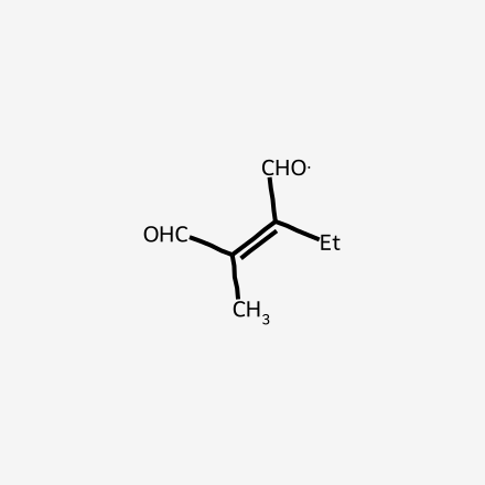 CCC([C]=O)=C(C)C=O